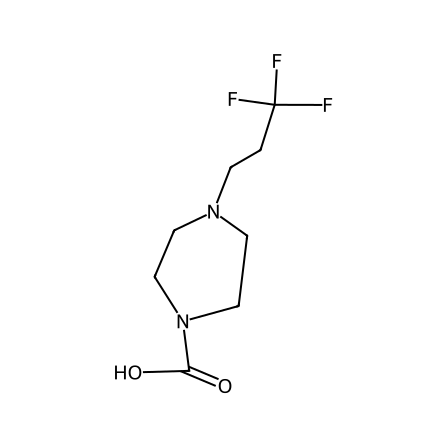 O=C(O)N1CCN(CCC(F)(F)F)CC1